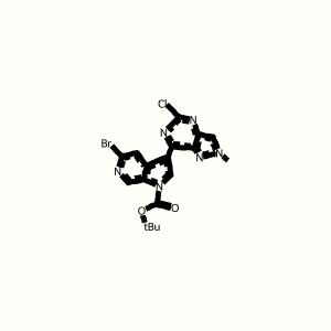 Cn1cc2nc(Cl)nc(-c3cn(C(=O)OC(C)(C)C)c4cnc(Br)cc34)c2n1